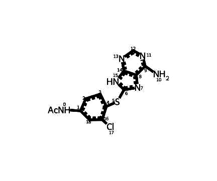 CC(=O)Nc1ccc(Sc2nc3c(N)ncnc3[nH]2)c(Cl)c1